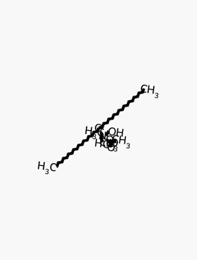 CCCCCCCCCCCCCCCCCCOCCCCCCCCCCCCCCCCCC.CCN(C)CCO.COS(=O)(=O)O